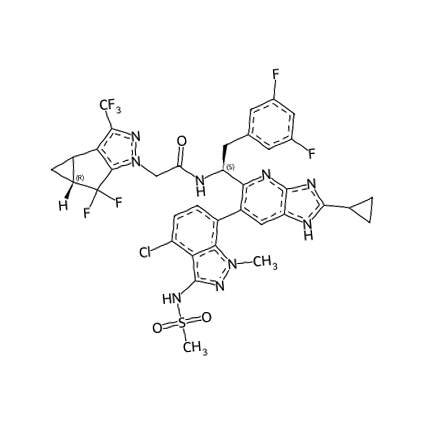 Cn1nc(NS(C)(=O)=O)c2c(Cl)ccc(-c3cc4[nH]c(C5CC5)nc4nc3[C@H](Cc3cc(F)cc(F)c3)NC(=O)Cn3nc(C(F)(F)F)c4c3C(F)(F)[C@@H]3CC43)c21